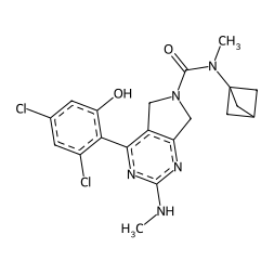 CNc1nc2c(c(-c3c(O)cc(Cl)cc3Cl)n1)CN(C(=O)N(C)C13CC(C1)C3)C2